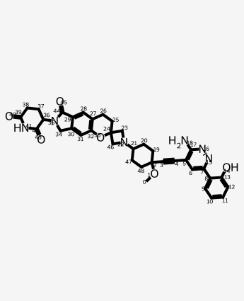 COC1(C#Cc2cc(-c3ccccc3O)nnc2N)CCC(N2CC3(CCc4cc5c(cc4O3)CN(C3CCC(=O)NC3=O)C5=O)C2)CC1